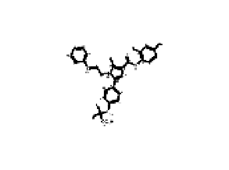 Cc1ccc(NC(=O)c2nc(-c3ccc(SC(C)(C)C(=O)O)cc3)n(CCOc3ccccc3)c2C)c(C)c1